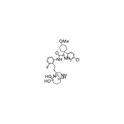 COC1CCC(c2ccc(Cl)cc2)([C@H](N)C(=O)Nc2cccc(F)c2CC[C@H]2CN[C@@H]3CCCS(O)(O)N2C3)CC1